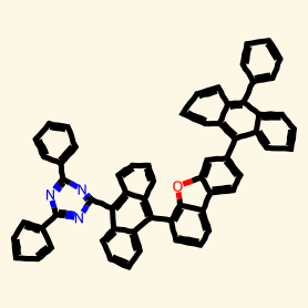 c1ccc(-c2nc(-c3ccccc3)nc(-c3c4ccccc4c(-c4cccc5c4oc4cc(-c6c7ccccc7c(-c7ccccc7)c7ccccc67)ccc45)c4ccccc34)n2)cc1